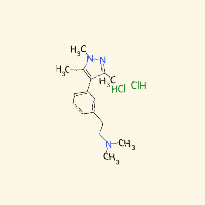 Cc1nn(C)c(C)c1-c1cccc(CCN(C)C)c1.Cl.Cl